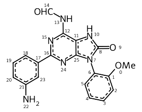 COc1ccccc1-n1c(=O)[nH]c2c(NC=O)nc(-c3cccc(N)c3)nc21